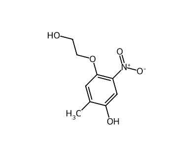 Cc1cc(OCCO)c([N+](=O)[O-])cc1O